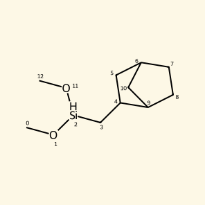 CO[SiH](CC1CC2CCC1C2)OC